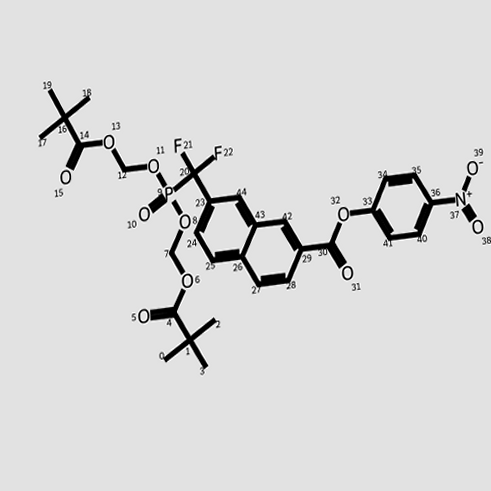 CC(C)(C)C(=O)OCOP(=O)(OCOC(=O)C(C)(C)C)C(F)(F)c1ccc2ccc(C(=O)Oc3ccc([N+](=O)[O-])cc3)cc2c1